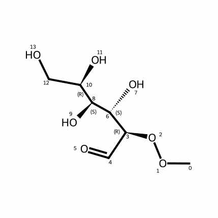 COO[C@@H](C=O)[C@@H](O)[C@@H](O)[C@H](O)CO